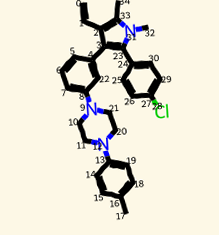 C=Cc1c(-c2cccc(N3CCN(c4ccc(C)cc4)CC3)c2)c(-c2ccc(Cl)cc2)n(C)c1C